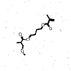 C=C(C)C(=O)OCCCCOC(=O)C(C)COC